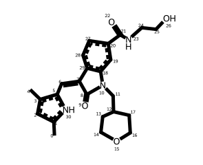 Cc1cc(C)c(/C=C2\C(=O)N(CC3CCOCC3)c3cc(C(=O)NCCO)ccc32)[nH]1